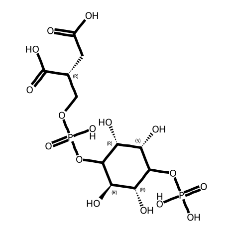 O=C(O)C[C@H](COP(=O)(O)OC1[C@H](O)[C@H](O)C(OP(=O)(O)O)[C@H](O)[C@H]1O)C(=O)O